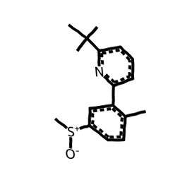 Cc1ccc([S+](C)[O-])cc1-c1cccc(C(C)(C)C)n1